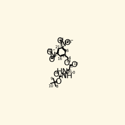 C[C@H](NNC(=O)OC(C)(C)C)C(=O)OCc1cc([N+](=O)[O-])cc([N+](=O)[O-])c1